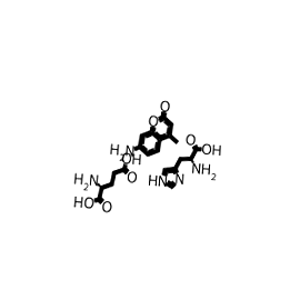 Cc1cc(=O)oc2cc(N)ccc12.N[C@@H](CCC(=O)O)C(=O)O.N[C@@H](Cc1c[nH]cn1)C(=O)O